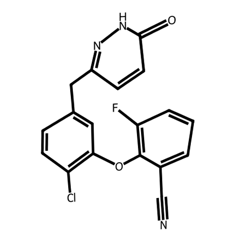 N#Cc1cccc(F)c1Oc1cc(Cc2ccc(=O)[nH]n2)ccc1Cl